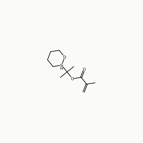 C=C(C)C(=O)OC(C)(C)[SiH]1CCCCO1